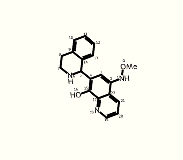 CONc1cc(C2NCCc3ccccc32)c(O)c2ncccc12